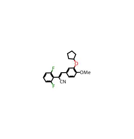 COc1ccc(C=C(C#N)c2c(F)cccc2F)cc1OC1CCCC1